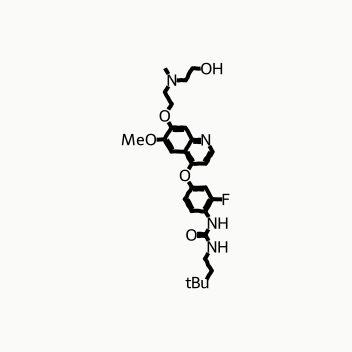 COc1cc2c(Oc3ccc(NC(=O)NCCC(C)(C)C)c(F)c3)ccnc2cc1OCCN(C)CCO